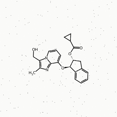 Cc1nc2c(O[C@@H]3c4ccccc4C[C@H]3OC(=O)C3CC3)cccn2c1CO